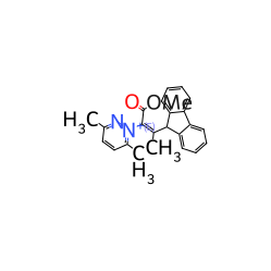 COC(=O)/C(=C(/C)C1c2ccccc2-c2ccccc21)[n+]1nc(C)ccc1C